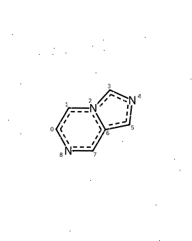 c1cn2cncc2cn1